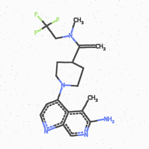 C=C(C1CCN(c2ccnc3cnc(N)c(C)c23)CC1)N(C)CC(F)(F)F